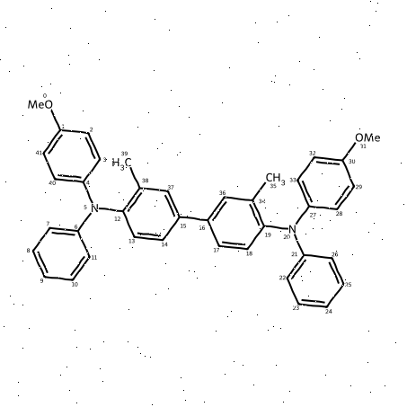 COc1ccc(N(c2ccccc2)c2ccc(-c3ccc(N(c4ccccc4)c4ccc(OC)cc4)c(C)c3)cc2C)cc1